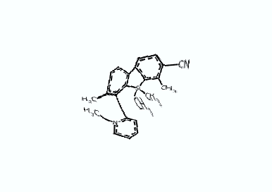 Cc1ccc2c(c1-c1cccc[n+]1C)[Si](C)(C)c1c-2ccc(C#N)c1C